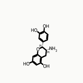 N[C@@H]1Cc2c(O)cc(O)cc2O[C@@H]1c1ccc(O)c(O)c1